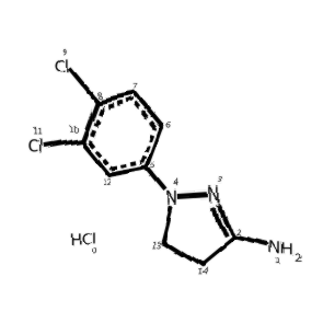 Cl.NC1=NN(c2ccc(Cl)c(Cl)c2)CC1